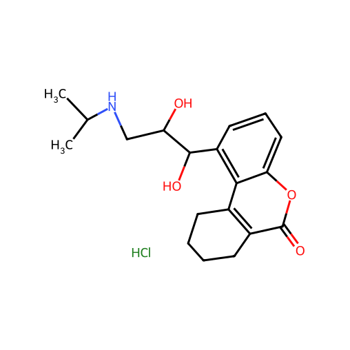 CC(C)NCC(O)C(O)c1cccc2oc(=O)c3c(c12)CCCC3.Cl